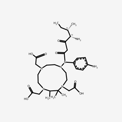 CC[C@H](C)[C@H](N)C(=O)CC(=O)N(c1ccc(N)cc1)N1CCN(CC(=O)O)CCN(CC(=O)O)C(C)C(C)(C)N(CC(=O)O)CC1